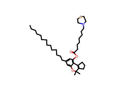 CCCCCCCCCCCCCCc1cc(OC(=O)CCCCCCCN2CCSCC2)c2c(c1)OC(C)(C)C1=C2CCC1